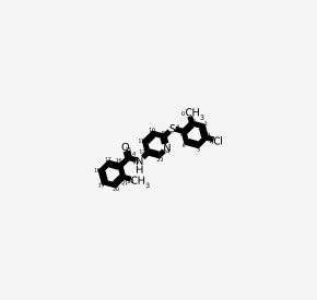 Cc1cc(Cl)ccc1Sc1ccc(NC(=O)c2ccccc2C)cn1